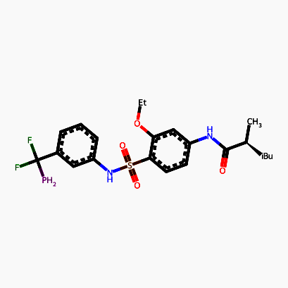 CCOc1cc(NC(=O)[C@@H](C)C(C)CC)ccc1S(=O)(=O)Nc1cccc(C(F)(F)P)c1